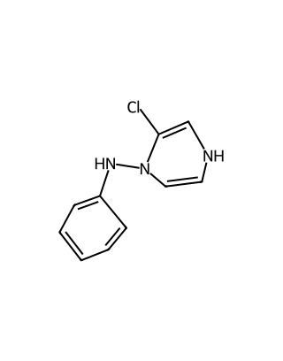 ClC1=CNC=CN1Nc1ccccc1